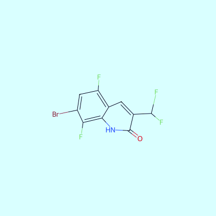 O=c1[nH]c2c(F)c(Br)cc(F)c2cc1C(F)F